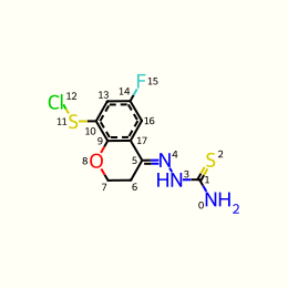 NC(=S)NN=C1CCOc2c(SCl)cc(F)cc21